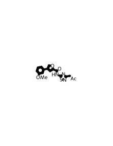 COc1cccc(-c2coc(C(=O)Nc3nc(CC(C)=O)ns3)c2)c1